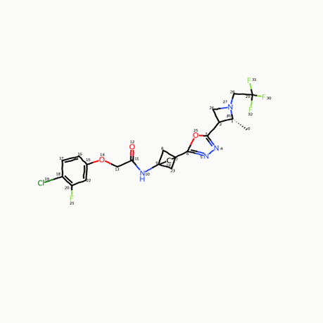 C[C@@H]1C(c2nnc(C34CC(NC(=O)COc5ccc(Cl)c(F)c5)(C3)C4)o2)CN1CC(F)(F)F